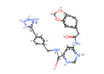 O=C(Cc1ccc2c(c1)OCO2)Nc1cc(C(=O)NCc2ccc(-c3nnn[nH]3)cc2)ncn1